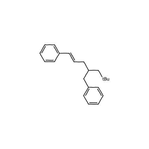 CC(C)(C)CC(CC=Cc1ccccc1)Cc1ccccc1